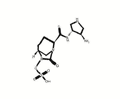 N[C@@H]1CNC[C@H]1NC(=O)[C@@H]1CC[C@@H]2CN1C(=O)N2OS(=O)(=O)O